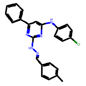 Cc1ccc(C=NNc2nc(Nc3ccc(Cl)cc3)cc(-c3ccccc3)n2)cc1